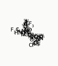 Cc1nc(NCCC(F)(F)F)nc2c1n(-c1ccc(C(=O)N3CCc4c(n(Cc5ccc(Cl)cc5F)c5ncccc45)C3)nc1)c(=O)n2C1CCN(CC2(C(F)(F)F)CC2)CC1